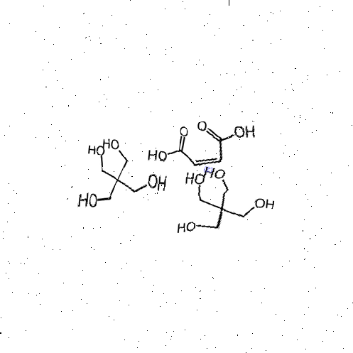 O=C(O)/C=C\C(=O)O.OCC(CO)(CO)CO.OCC(CO)(CO)CO